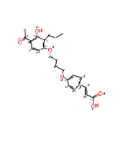 CCCc1c(OCCCCOc2ccc(/C=C/C(=O)O)cc2)ccc(C(C)=O)c1O